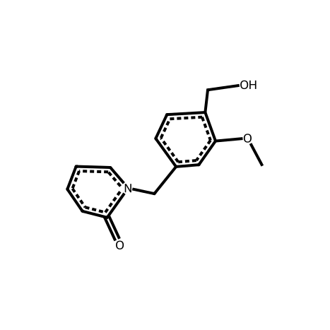 COc1cc(Cn2ccccc2=O)ccc1CO